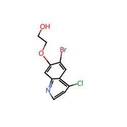 OCCOc1cc2nccc(Cl)c2cc1Br